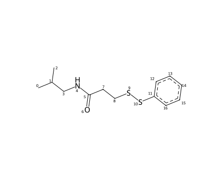 CC(C)CNC(=O)CCSSc1ccccc1